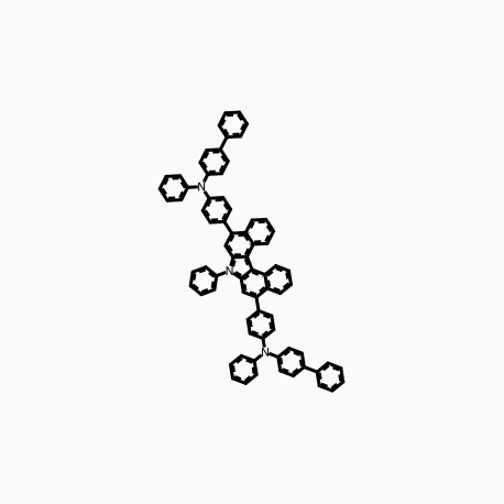 c1ccc(-c2ccc(N(c3ccccc3)c3ccc(-c4cc5c(c6ccccc46)c4c6ccccc6c(-c6ccc(N(c7ccccc7)c7ccc(-c8ccccc8)cc7)cc6)cc4n5-c4ccccc4)cc3)cc2)cc1